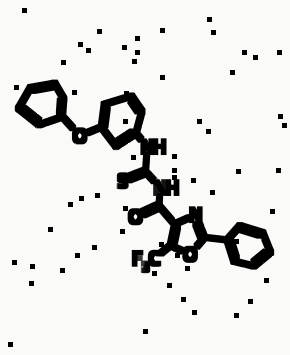 O=C(NC(=S)Nc1cccc(Oc2ccccc2)c1)c1nc(-c2ccccc2)oc1C(F)(F)F